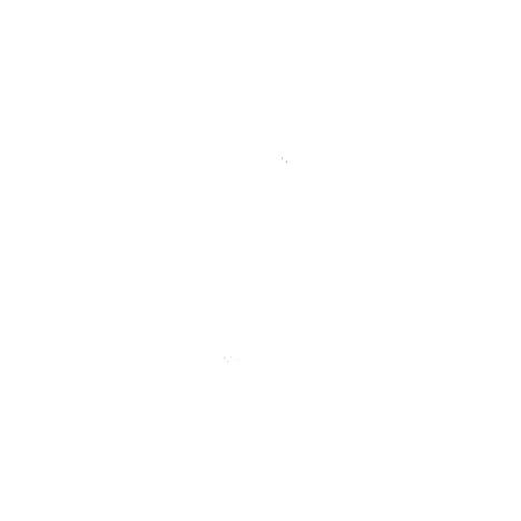 COCCOc1ccc(OC2CCNCC2)cc1